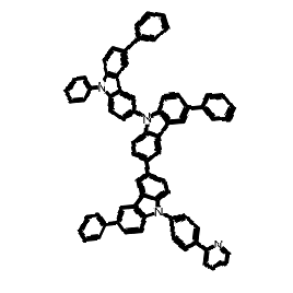 c1ccc(-c2ccc3c(c2)c2cc(-c4ccc5c(c4)c4cc(-c6ccccc6)ccc4n5-c4ccc5c(c4)c4cc(-c6ccccc6)ccc4n5-c4ccccc4)ccc2n3-c2ccc(-c3ccccn3)cc2)cc1